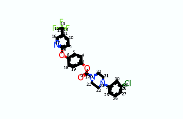 O=C(Oc1ccc(Oc2ccc(C(F)(F)F)cn2)cc1)N1CCN(c2cccc(Cl)c2)CC1